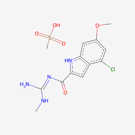 CNC(N)=NC(=O)c1cc2c(Cl)cc(OC)cc2[nH]1.CS(=O)(=O)O